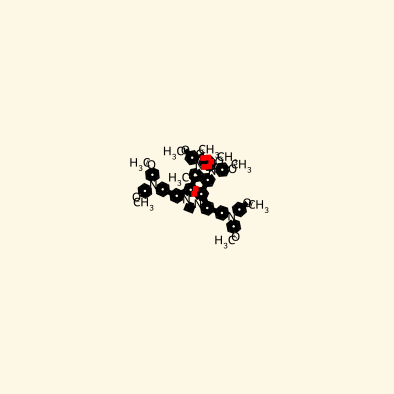 COc1ccc(N(C2=CC=C(c3ccc4c(c3)c3cc(-c5ccc(N(c6ccc(OC)cc6)c6ccc(OC)cc6)cc5)ccc3n4C3CCC3n3c4ccc(-c5ccc(N(c6ccc(OC)cc6)c6ccc(OC)cc6)cc5)cc4c4cc(-c5ccc(N(c6ccc(OC)cc6)c6ccc(OC)cc6)cc5)ccc43)C(C)C2)c2ccc(OC)cc2)cc1